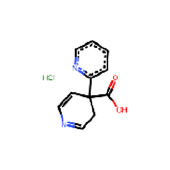 Cl.O=C(O)C1(c2ccccn2)C=CN=CC1